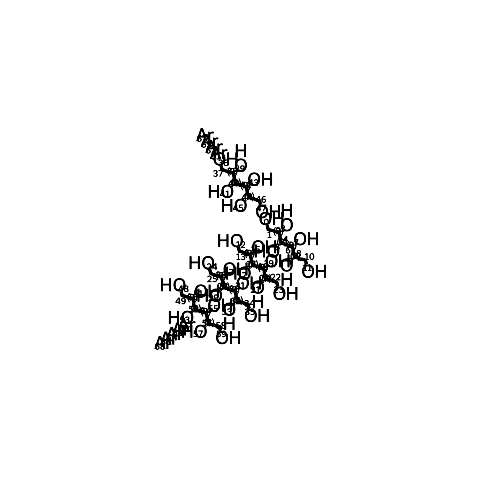 OC[C@@H](O)[C@@H](O)[C@H](O)[C@H](O)CO.OC[C@@H](O)[C@@H](O)[C@H](O)[C@H](O)CO.OC[C@@H](O)[C@@H](O)[C@H](O)[C@H](O)CO.OC[C@@H](O)[C@@H](O)[C@H](O)[C@H](O)CO.OC[C@@H](O)[C@@H](O)[C@H](O)[C@H](O)CO.[Ar].[Ar].[Ar].[Ar].[Ar].[Ar].[Ar].[Ar].[Ar]